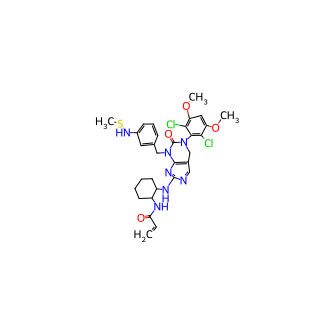 C=CC(=O)NC1CCCCC1Nc1ncc2c(n1)N(Cc1cccc(NSC)c1)C(=O)N(c1c(Cl)c(OC)cc(OC)c1Cl)C2